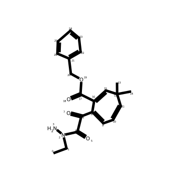 CCN(N)C(=O)C(=O)C1=CC=CC(C)(C)C=C1C(=O)OCc1ccccc1